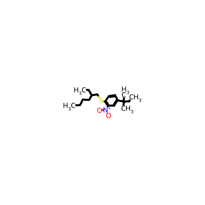 CCCCC(CC)CSc1ccc(C(C)(C)CC)cc1[N+](=O)[O-]